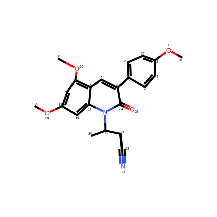 COc1ccc(-c2cc3c(OC)cc(OC)cc3n(C(C)CC#N)c2=O)cc1